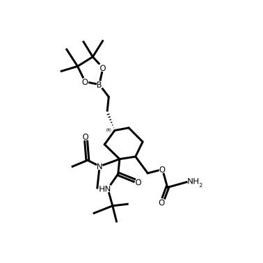 CC(=O)N(C)C1(C(=O)NC(C)(C)C)C[C@H](CCB2OC(C)(C)C(C)(C)O2)CCC1COC(N)=O